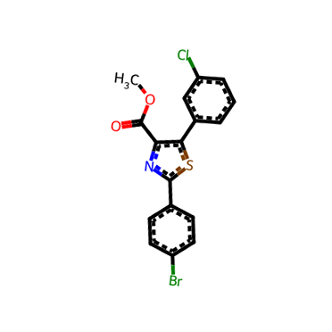 COC(=O)c1nc(-c2ccc(Br)cc2)sc1-c1cccc(Cl)c1